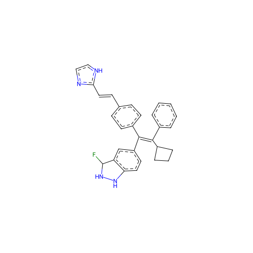 FC1NNc2ccc(/C(=C(/c3ccccc3)C3CCC3)c3ccc(/C=C/c4ncc[nH]4)cc3)cc21